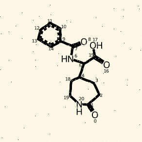 O=C1CCC(C(NC(=O)c2ccccc2)C(=O)O)CCN1